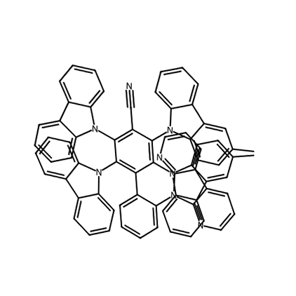 Cc1ccc2c(c1)c1ccccc1n2-c1c(C#N)c(-n2c3ccccc3c3ccccc32)c(-n2c3ccccc3c3ccccc32)c(-c2ccccc2-n2c3ncccc3c3cccnc32)c1-n1c2ccccc2c2cc(C)ccc21